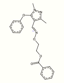 Cc1nn(C)c(Oc2ccccc2)c1/C=N/OCCOC(=O)c1ccccc1